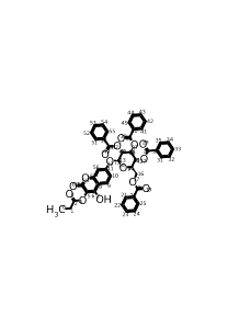 CCC(=O)Oc1c(O)c2ccc(O[C@@H]3O[C@H](COC(=O)c4ccccc4)[C@@H](OC(=O)c4ccccc4)[C@H](OC(=O)c4ccccc4)[C@H]3OC(=O)c3ccccc3)cc2oc1=O